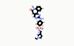 CCN1CCC(CNS(=O)(=O)c2ccc(Nc3ncc4c(n3)-c3ccccc3N(C)C(=O)C4)cc2)C1